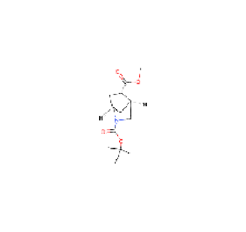 COC(=O)[C@H]1C[C@H]2C[C@@H]1CN2C(=O)OC(C)(C)C